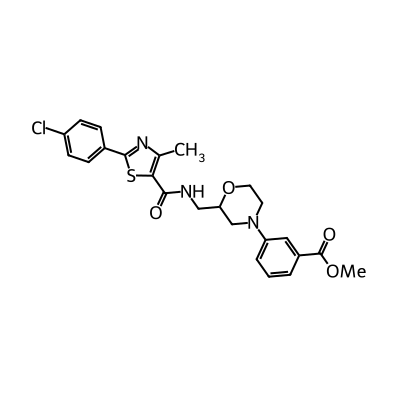 COC(=O)c1cccc(N2CCOC(CNC(=O)c3sc(-c4ccc(Cl)cc4)nc3C)C2)c1